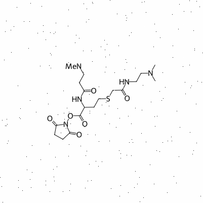 CNCCC(=O)NC(CCSCC(=O)NCCN(C)C)C(=O)ON1C(=O)CCC1=O